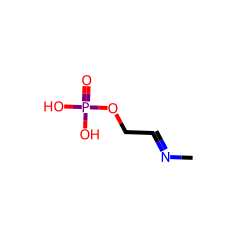 CN=CCOP(=O)(O)O